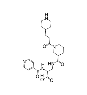 O=C(NC(CNC(=O)[C@@H]1CCCN(C(=O)CCC2CCNCC2)C1)C(=O)O)c1ccncc1